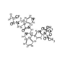 CS(=O)(=O)N(c1ccc(-c2c(CN3C(=O)C4(CCN(C(=O)C5(C(F)(F)F)CC5)CC4)c4ccncc43)ncc3ccccc23)cn1)S(C)(=O)=O